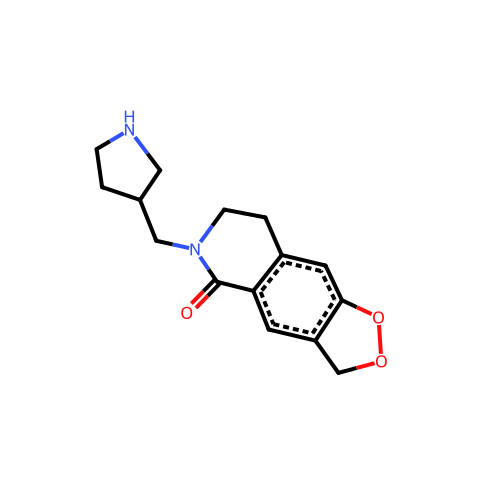 O=C1c2cc3c(cc2CCN1CC1CCNC1)OOC3